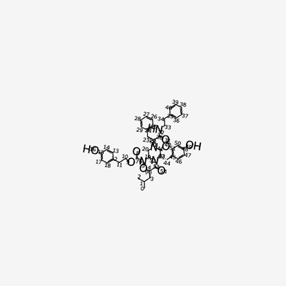 CC(C)C[C@H]1ON(C(=O)OCCc2ccc(O)cc2)C2CN([C@@H](Cc3ccccc3)C(=O)NCCc3ccccc3)C(=O)[C@H](Cc3ccc(O)cc3)N2C1=O